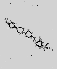 CCc1cnc(N2CCN(C3CCC(COc4ccc(S(C)(=O)=O)cc4F)CC3)CC2)nc1